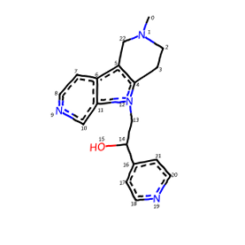 CN1CCc2c(c3ccncc3n2CC(O)c2ccncc2)C1